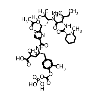 CC[C@H](C)[C@H](NC(=O)[C@H]1CCCCN1C)C(=O)N(C)[C@H](C[C@@H](OC(C)=O)c1nc(C(=O)N[C@@H](Cc2ccc(OC(=O)OP(=O)(O)O)c(C)c2)CC(C)C(=O)O)cs1)C(C)C